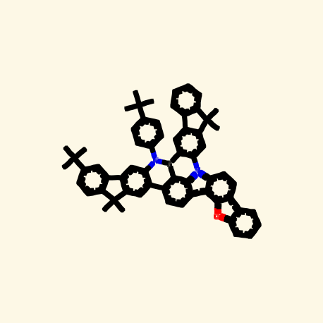 CC(C)(C)c1ccc(N2B3c4cc5c(cc4-n4c6ccc7c8ccccc8oc7c6c6ccc(c3c64)-c3cc4c(cc32)-c2cc(C(C)(C)C)ccc2C4(C)C)C(C)(C)c2ccccc2-5)cc1